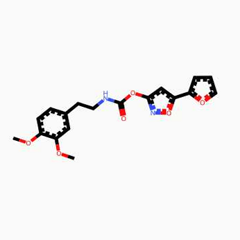 COc1ccc(CCNC(=O)Oc2cc(-c3ccco3)on2)cc1OC